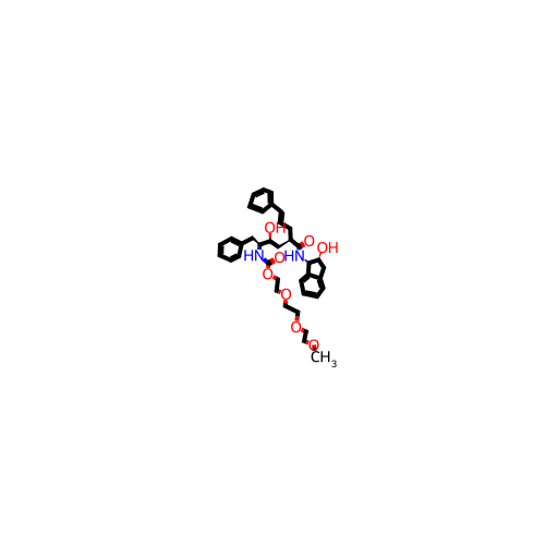 COCCOCCOCCOC(=O)N[C@@H](Cc1ccccc1)[C@@H](O)C[C@@H](CC=Cc1ccccc1)C(=O)N[C@H]1c2ccccc2C[C@H]1O